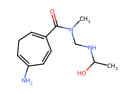 CC(O)NCN(C)C(=O)C1=CCC=C(N)C=C1